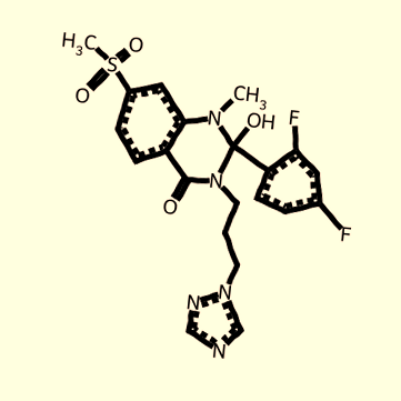 CN1c2cc(S(C)(=O)=O)ccc2C(=O)N(CCCn2cncn2)C1(O)c1ccc(F)cc1F